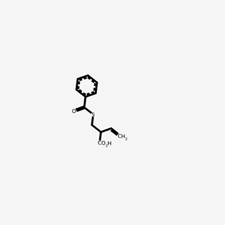 C=CC(CSC(=O)c1ccccc1)C(=O)O